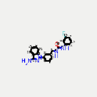 Nc1nn(-c2cccc(CNC(=O)Nc3cccc(F)c3)c2)c2ccccc12